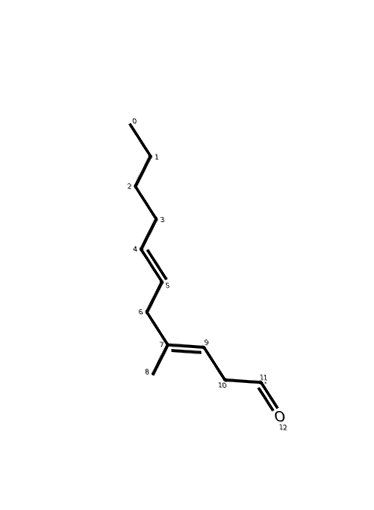 CCCCC=CCC(C)=CC[C]=O